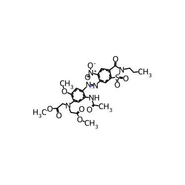 CCCN1C(=O)c2cc([N+](=O)[O-])c(/N=N/c3cc(OC)c(N(CC(=O)OC)CC(=O)OC)cc3NC(C)=O)cc2S1(=O)=O